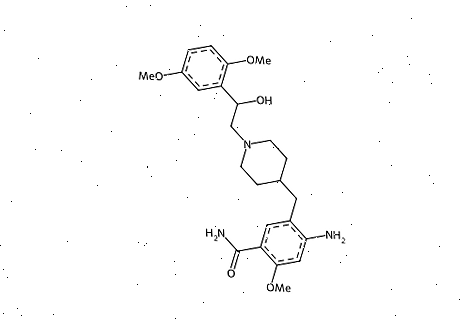 COc1ccc(OC)c(C(O)CN2CCC(Cc3cc(C(N)=O)c(OC)cc3N)CC2)c1